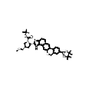 COC[C@@H]1C[C@@H](c2nc3ccc4cc5c(cc4c3[nH]2)OCc2cc(B3OC(C)(C)C(C)(C)O3)ccc2-5)N(C(=O)OC(C)(C)C)C1